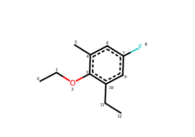 CCOc1c(C)cc(F)cc1CC